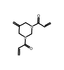 C=CC(=O)N1CC(=C)CN(C(=O)C=C)C1